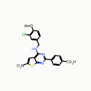 COc1ccc(CNc2nc(-c3ccc(C(=O)O)cc3)nc3sc([N+](=O)[O-])cc23)cc1Cl